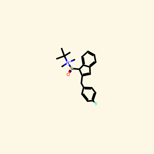 CC(C)(C)[N+](C)(C)[Si](=O)C1C(Cc2ccc(F)cc2)=Cc2ccccc21